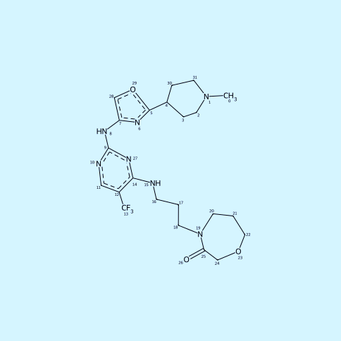 CN1CCC(c2nc(Nc3ncc(C(F)(F)F)c(NCCCN4CCCOCC4=O)n3)co2)CC1